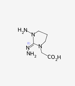 N/N=C1/N(N)CCCN1CC(=O)O